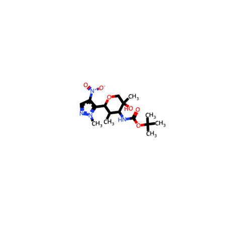 CC1C(c2c([N+](=O)[O-])cnn2C)OCC(C)(O)C1NC(=O)OC(C)(C)C